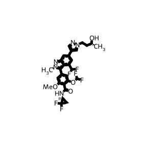 COc1cc(-c2c3c(C(F)F)cc(-c4cnn(CC[C@@H](C)O)c4)cc3nn2C)cc(OC(F)F)c1C(=O)N[C@@H]1CC1(F)F